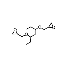 CCC(CC(CC)OCC1CO1)OCC1CO1